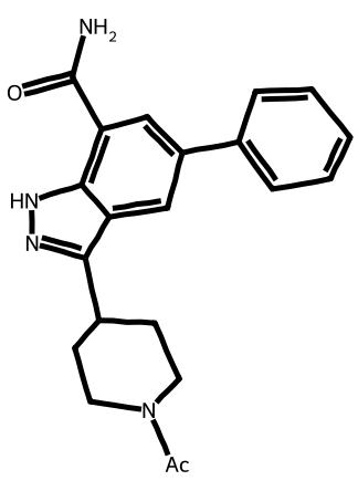 CC(=O)N1CCC(c2n[nH]c3c(C(N)=O)cc(-c4ccccc4)cc23)CC1